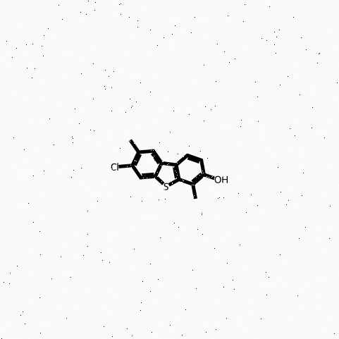 Cc1cc2c(cc1Cl)sc1c(C)c(O)ccc12